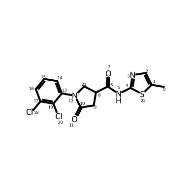 Cc1cnc(NC(=O)C2CC(=O)N(c3cccc(Cl)c3Cl)C2)s1